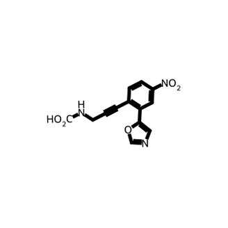 O=C(O)NCC#Cc1ccc([N+](=O)[O-])cc1-c1cnco1